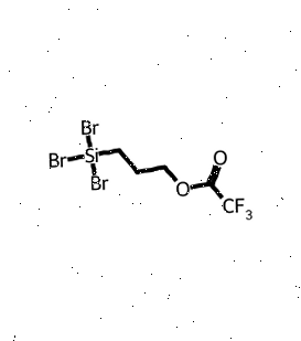 O=C(OCCC[Si](Br)(Br)Br)C(F)(F)F